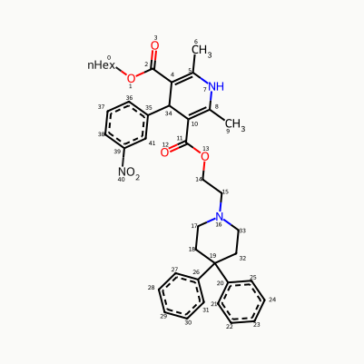 CCCCCCOC(=O)C1=C(C)NC(C)=C(C(=O)OCCN2CCC(c3ccccc3)(c3ccccc3)CC2)C1c1cccc([N+](=O)[O-])c1